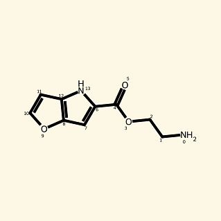 NCCOC(=O)c1cc2occc2[nH]1